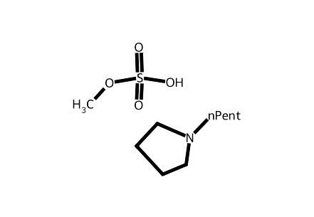 CCCCCN1CCCC1.COS(=O)(=O)O